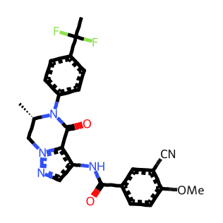 COc1ccc(C(=O)Nc2cnn3c2C(=O)N(c2ccc(C(C)(F)F)cc2)[C@@H](C)C3)cc1C#N